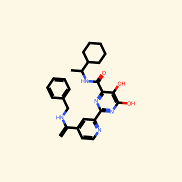 C=C(NCc1ccccc1)c1ccnc(-c2nc(O)c(O)c(C(=O)NC(C)C3CCCCC3)n2)c1